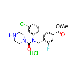 COC(=O)c1ccc(CN(C(=O)N2CCNCC2)c2cccc(Cl)c2)c(F)c1.Cl